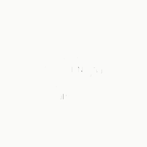 C=C(CNC(C)(C)C)C(C)CCC(C)C